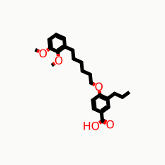 CCCc1cc(C(=O)O)ccc1OCCCCCCc1cccc(OC)c1OC